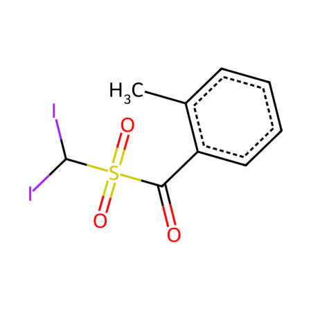 Cc1ccccc1C(=O)S(=O)(=O)C(I)I